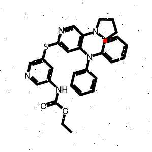 CCOC(=O)Nc1cncc(Sc2cc(N(c3ccccc3)c3ccccc3)c(N3CCCC3)cn2)c1